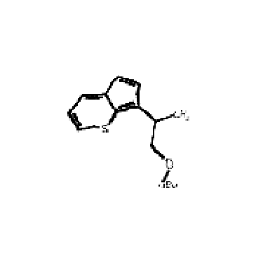 [CH2]CCCOCC(C)c1ccc2cccsc1-2